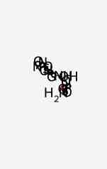 CCc1c(OC[C@@H](O)CN[C@H]2COC3(CCN(S(=O)(=O)c4cnc5c(c4)N(C)CCO5)CC3)C2)cccc1S(N)(=O)=O